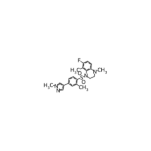 Cc1cc(-c2cnn(C)c2)ccc1S(=O)(=O)N1CCN(C)c2ccc(F)c(C)c21